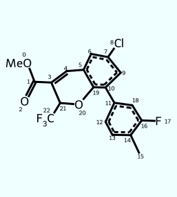 COC(=O)C1=Cc2cc(Cl)cc(-c3ccc(C)c(F)c3)c2OC1C(F)(F)F